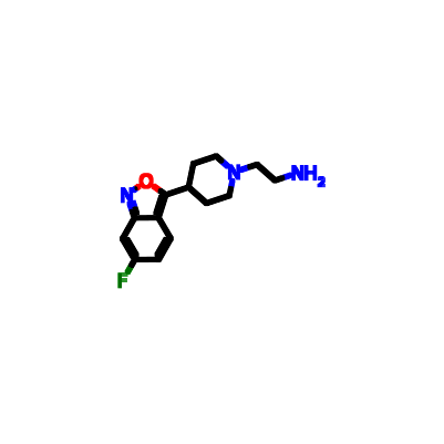 NCCN1CCC(c2onc3cc(F)ccc23)CC1